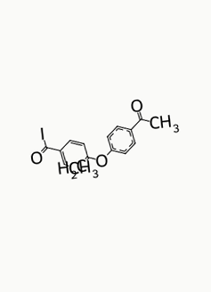 C=C(/C=C\C(=C/C)C(=O)I)Oc1ccc(C(C)=O)cc1